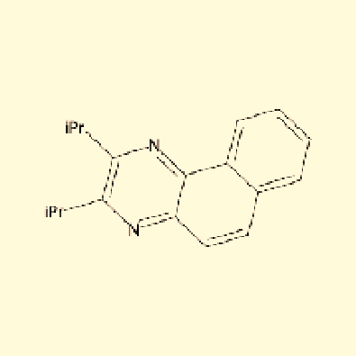 CC(C)c1nc2ccc3ccccc3c2nc1C(C)C